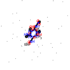 C[C@@H](O)[C@@H]1NC(=O)[C@H](CCCCNC(=O)OC(C)(C)C)NC[C@@H](Cc2c[nH]c3ccccc23)NC(=O)[C@H](Cc2ccc(O)cc2)NC(=O)[C@H](CCC(=O)NCCCN2C(=O)C=CC2=O)N(C)C(=O)[C@H](Cc2ccccc2)NC1=O